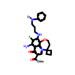 CCN(CCCNc1c(F)c(N)c2c(=O)c(C(=O)OC)cn3c2c1OCCC31CCC1)c1ccccc1